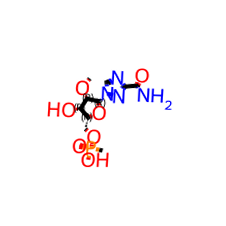 CO[C@@H]1[C@H](O)[C@@H](COP(C)(=O)O)O[C@H]1n1cnc(C(N)=O)n1